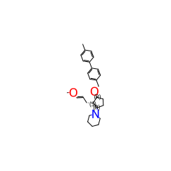 COC=CC[C@H]1[C@H](N2CCCCC2)CC[C@H]1OCc1ccc(-c2ccc(C)cc2)cc1